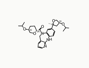 CC(C)O[C@@H]1CO[C@](C)(c2ccc3c(c2)N(C(=O)[C@H]2CC[C@H](OC(C)C)CO2)Cc2cccnc2N3)C1